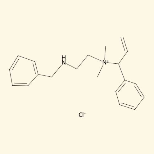 C=CC(c1ccccc1)[N+](C)(C)CCNCc1ccccc1.[Cl-]